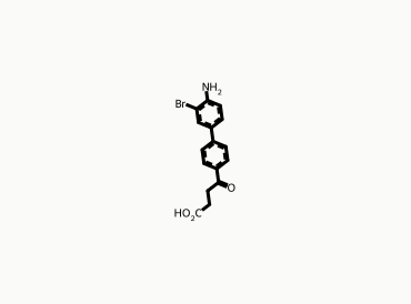 Nc1ccc(-c2ccc(C(=O)CCC(=O)O)cc2)cc1Br